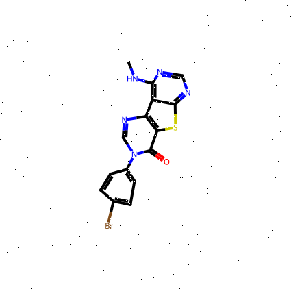 CNc1ncnc2sc3c(=O)n(-c4ccc(Br)cc4)cnc3c12